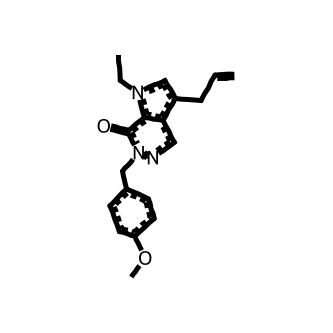 C=CCc1cn(CC)c2c(=O)n(Cc3ccc(OC)cc3)ncc12